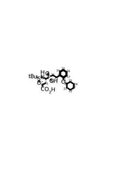 CC(C)(C)[S@+]([O-])N[C@@H](CCC(=O)O)P(=O)(O)CCc1ccccc1OC1CCCCC1